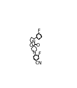 N#Cc1ccc(N2CCC3(CC2)OC2CCC(c4cccc(F)c4)N2C3=O)c(F)c1